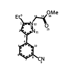 CCc1cc(-c2cccc(C#N)c2)nn1CC(=O)OC